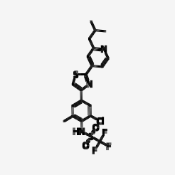 Cc1cc(-c2csc(-c3ccnc(CC(C)C)c3)n2)cc(Cl)c1NS(=O)(=O)C(F)(F)F